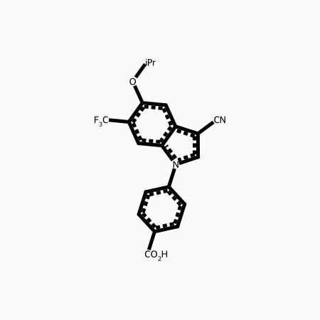 CC(C)Oc1cc2c(C#N)cn(-c3ccc(C(=O)O)cc3)c2cc1C(F)(F)F